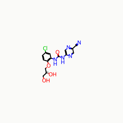 N#Cc1cnc(NC(=O)Nc2cc(Cl)ccc2OC[C@H](O)CO)cn1